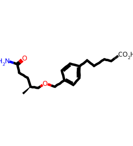 C[C@@H](CCC(N)=O)COCc1ccc(CCCCC(=O)O)cc1